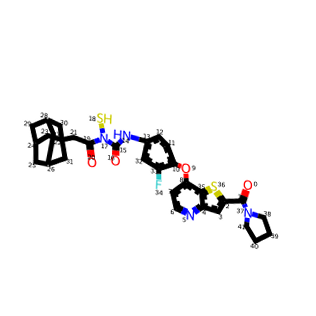 O=C(c1cc2nccc(Oc3ccc(NC(=O)N(S)C(=O)CC45CC6CC(CC(C6)C4)C5)cc3F)c2s1)N1CCCC1